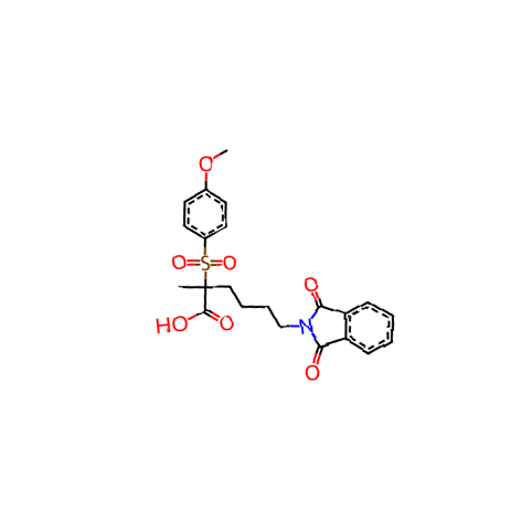 COc1ccc(S(=O)(=O)C(C)(CCCCN2C(=O)c3ccccc3C2=O)C(=O)O)cc1